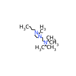 CCCCN1CCN(CCN(C(C)C)C(C)C)C1C